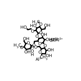 COC1C(CO)OC(OCC2OC(OC3C(CO)OC(C)C(O)C3O)C(O)C(O)C2OC2OC(CO)C(OC)C(O)C2OCCO)C(O)C1O.[Al+3].[Al+3].[O-2].[O-2].[O-2]